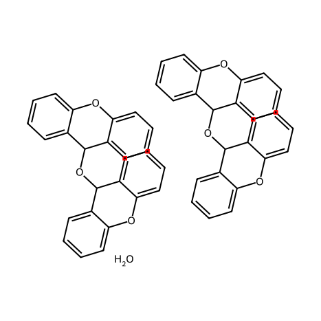 O.c1ccc2c(c1)Oc1ccccc1C2OC1c2ccccc2Oc2ccccc21.c1ccc2c(c1)Oc1ccccc1C2OC1c2ccccc2Oc2ccccc21